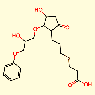 O=C(O)CCSCCCC1C(=O)CC(O)C1OCC(O)COc1ccccc1